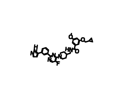 COc1cc(OCC2CC2)cc(C(=O)NCC2CCN(c3nc(-c4cccc(-c5ccn[nH]5)c4)ncc3F)CC2)c1